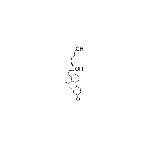 C[C@@H]1CC2=CC(=O)CCC2C2CC[C@@]3(C)C(CC[C@@]3(O)C#CCCCO)C21